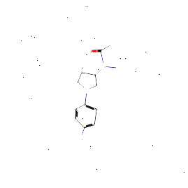 CC(=O)N(C)C1CCN(c2ccc(N)cc2)C1